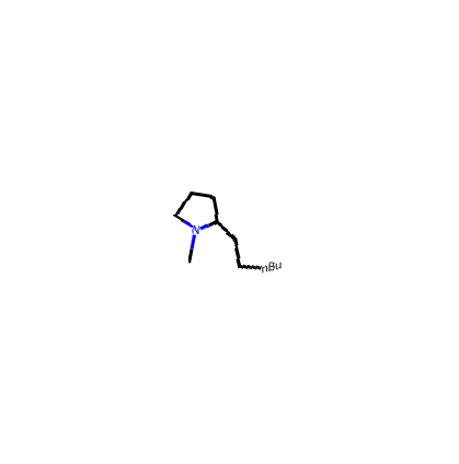 CCCCCCC1CCCN1C